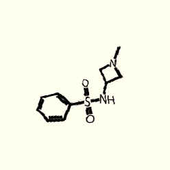 CN1CC(NS(=O)(=O)c2ccccc2)C1